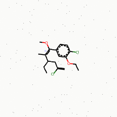 C=C(Cl)CC(CC)/C(C)=C(/OC)c1ccc(Cl)c(OCC)c1